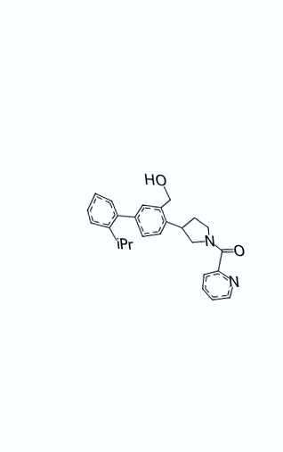 CC(C)c1ccccc1-c1ccc(C2CCN(C(=O)c3ccccn3)C2)c(CO)c1